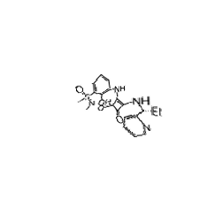 CC[C@@H](Nc1c(Nc2cccc(S(C)(=O)=NC)c2O)c(=O)c1=O)c1ccccn1